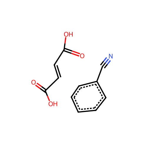 N#Cc1ccccc1.O=C(O)C=CC(=O)O